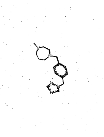 CN1CCCN(Cc2ccc(Cn3cncn3)cc2)CC1